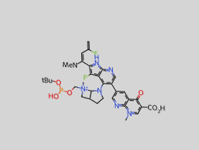 C=C(F)/C=C(/NC)c1[nH]c2ncc(-c3cnc4c(c3)c(=O)c(C(=O)O)cn4C)c(N3CCC4C[N+](C)(COP(O)OC(C)(C)C)C43)c2c1F